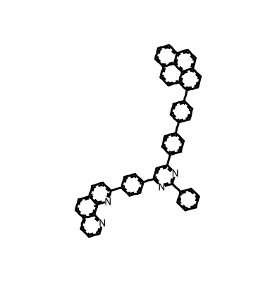 c1ccc(-c2nc(-c3ccc(-c4ccc(-c5ccc6ccc7cccc8ccc5c6c78)cc4)cc3)cc(-c3ccc(-c4ccc5ccc6cccnc6c5n4)cc3)n2)cc1